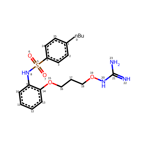 CCCCc1ccc(S(=O)(=O)Nc2ccccc2OCCCONC(=N)N)cc1